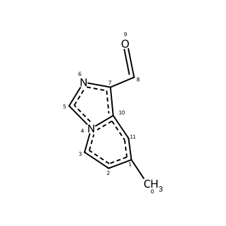 Cc1ccn2cnc(C=O)c2c1